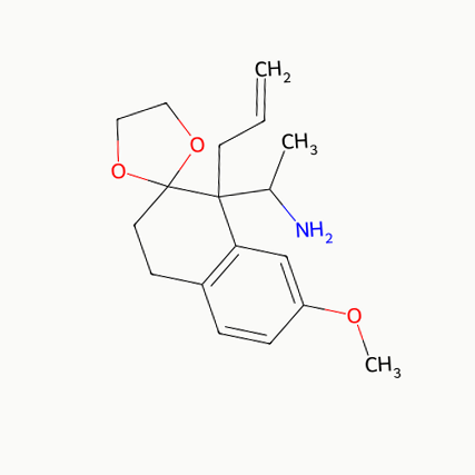 C=CCC1(C(C)N)c2cc(OC)ccc2CCC12OCCO2